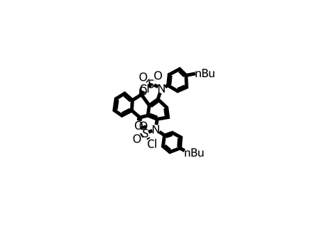 CCCCc1ccc(N(c2ccc(N(c3ccc(CCCC)cc3)S(=O)(=O)Cl)c3c2C(=O)c2ccccc2C3=O)S(=O)(=O)Cl)cc1